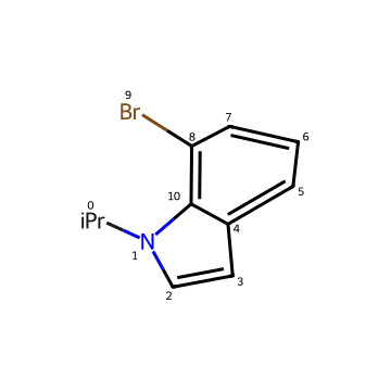 CC(C)n1ccc2cccc(Br)c21